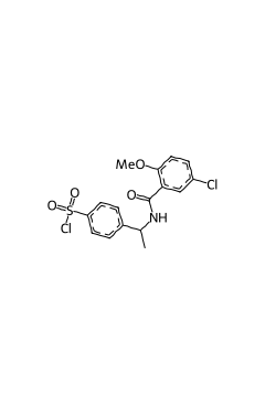 COc1ccc(Cl)cc1C(=O)NC(C)c1ccc(S(=O)(=O)Cl)cc1